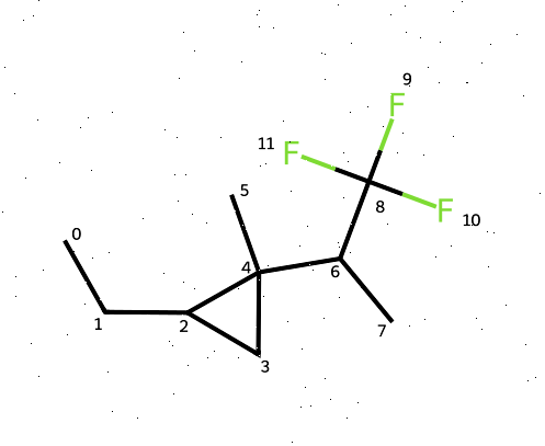 CCC1CC1(C)C(C)C(F)(F)F